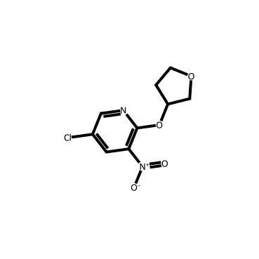 O=[N+]([O-])c1cc(Cl)cnc1OC1CCOC1